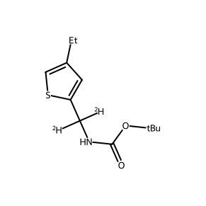 [2H]C([2H])(NC(=O)OC(C)(C)C)c1cc(CC)cs1